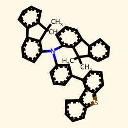 CC1(C)c2ccccc2-c2cccc(N(c3cccc(-c4cccc5sc6ccccc6c45)c3)c3cccc4c3C(C)(C)c3ccccc3-4)c21